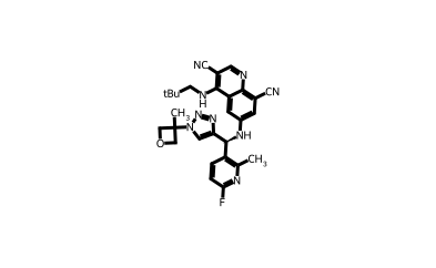 Cc1nc(F)ccc1[C@H](Nc1cc(C#N)c2ncc(C#N)c(NCC(C)(C)C)c2c1)c1cn(C2(C)COC2)nn1